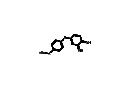 CCCCSc1ccc(SC2=CC(=N)C(=N)C=C2)cc1